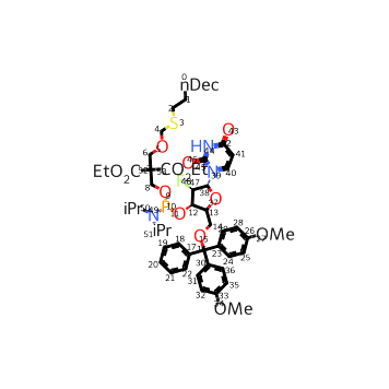 CCCCCCCCCCCCSCOCC(COP(O[C@@H]1C(COC(c2ccccc2)(c2ccc(OC)cc2)c2ccc(OC)cc2)O[C@@H](n2ccc(=O)[nH]c2=O)[C@@H]1F)N(C(C)C)C(C)C)(C(=O)OCC)C(=O)OCC